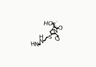 C[C@@H](O)[C@H]1C(=O)N2C(C=O)=C(SCCNC=N)CC12